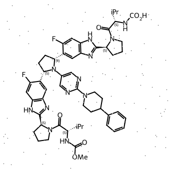 COC(=O)N[C@H](C(=O)N1CCC[C@H]1c1nc2cc([C@@H]3CC[C@H](c4cc5nc([C@@H]6CCCN6C(=O)[C@@H](NC(=O)O)C(C)C)[nH]c5cc4F)N3c3cnc(N4CCC(c5ccccc5)CC4)nc3)c(F)cc2[nH]1)C(C)C